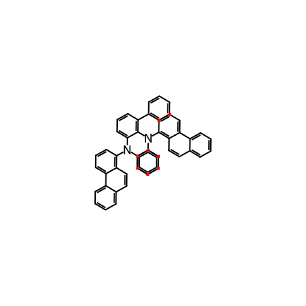 c1ccc(-c2cccc(N(c3ccccc3)c3cccc4c3ccc3ccccc34)c2N(c2ccccc2)c2cccc3c2ccc2ccccc23)cc1